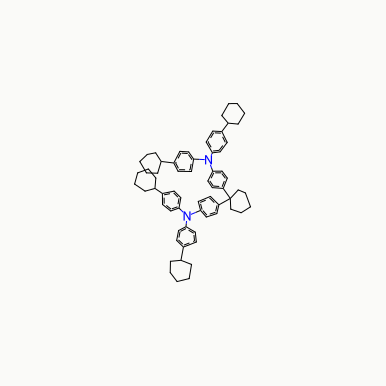 c1cc(N(c2ccc(C3CCCCC3)cc2)c2ccc(C3(c4ccc(N(c5ccc(C6CCCCC6)cc5)c5ccc(C6CCCCC6)cc5)cc4)CCCCC3)cc2)ccc1C1CCCCC1